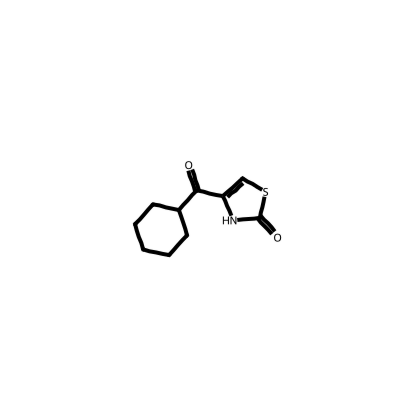 O=C(c1csc(=O)[nH]1)C1CCCCC1